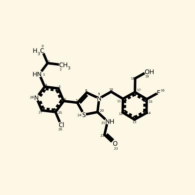 CC(C)Nc1cc(C2=CN(Cc3cccc(F)c3CO)C(NC=O)S2)c(Cl)cn1